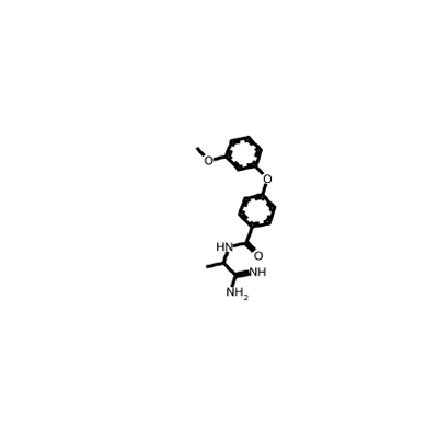 COc1cccc(Oc2ccc(C(=O)NC(C)C(=N)N)cc2)c1